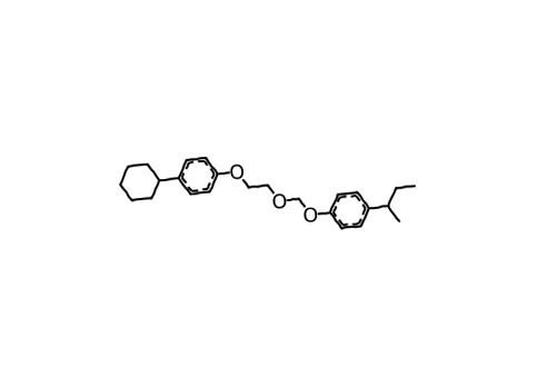 CCC(C)c1ccc(OCOCCOc2ccc(C3CCCCC3)cc2)cc1